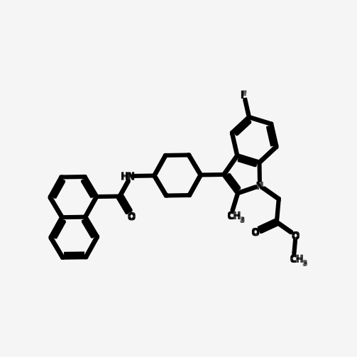 COC(=O)Cn1c(C)c(C2CCC(NC(=O)c3cccc4ccccc34)CC2)c2cc(F)ccc21